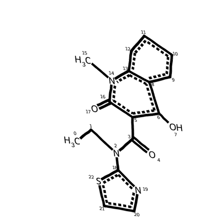 CCN(C(=O)c1c(O)c2ccccc2n(C)c1=O)c1nccs1